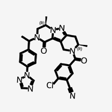 CC(c1ccc(-n2cncn2)cc1)N1C[C@@H](C)n2nc3c(c2C1=O)CN(C(=O)c1ccc(Cl)c(C#N)c1)[C@H](C)C3